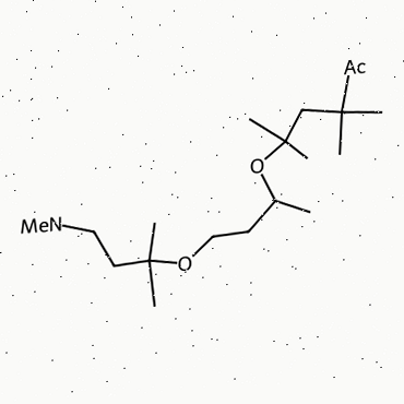 CNCCC(C)(C)OCCC(C)OC(C)(C)CC(C)(C)C(C)=O